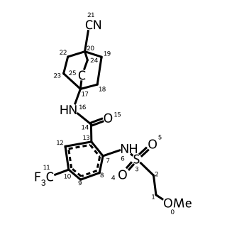 COCCS(=O)(=O)Nc1ccc(C(F)(F)F)cc1C(=O)NC12CCC(C#N)(CC1)CC2